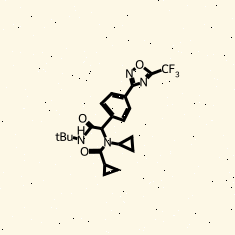 CC(C)(C)NC(=O)C(c1ccc(-c2noc(C(F)(F)F)n2)cc1)N(C(=O)C1CC1)C1CC1